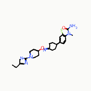 CCc1cnc(N2CCC(ON=C3CCC(c4ccc(N(C)C(N)=O)c(F)c4)CC3)CC2)nc1